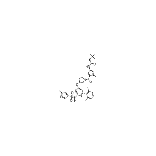 Cc1cccc(C)c1-c1cc(OC2CCN(C(=O)c3cc(NC(=O)OC(C)(C)C)cn3C)C2)nc(NS(=O)(=O)c2cnn(C)c2)n1